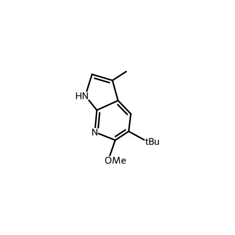 COc1nc2[nH]cc(C)c2cc1C(C)(C)C